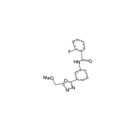 COCc1nnc(-c2cccc(NC(=O)c3ccccc3F)c2)o1